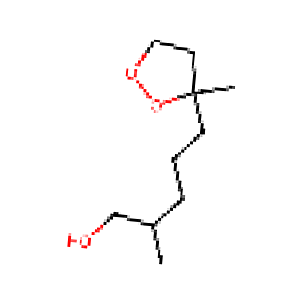 CC(CO)CCCC1(C)CCOO1